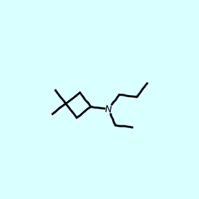 CCCN(CC)C1CC(C)(C)C1